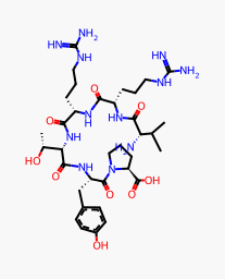 CC(C)[C@H](N)C(=O)N[C@@H](CCCNC(=N)N)C(=O)N[C@@H](CCCNC(=N)N)C(=O)N[C@H](C(=O)N[C@@H](Cc1ccc(O)cc1)C(=O)N1CCC[C@H]1C(=O)O)[C@@H](C)O